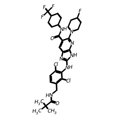 CC(C)(C)C(=O)NCc1ccc(Cl)c(Nc2nc3cc(C(=O)NC4CCC(C(F)(F)F)CC4)c(N4CCC(F)CC4)nc3[nH]2)c1Cl